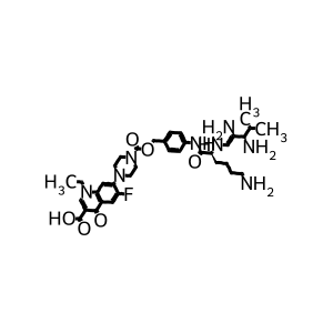 CCn1cc(C(=O)O)c(=O)c2cc(F)c(N3CCN(C(=O)OCc4ccc(NC(=O)[C@H](CCCCN)N/C=C(\N)[C@@H](N)C(C)C)cc4)CC3)cc21